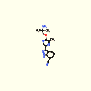 Cc1nc(-c2n[nH]c3c(C#N)cccc23)cnc1OCC(C)(C)N